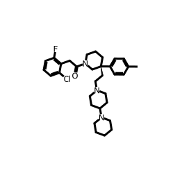 Cc1ccc([C@@]2(CCN3CCC(N4CCCCC4)CC3)CCCN(C(=O)Cc3c(F)cccc3Cl)C2)cc1